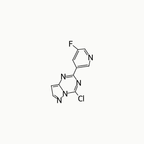 Fc1cncc(-c2nc(Cl)n3nccc3n2)c1